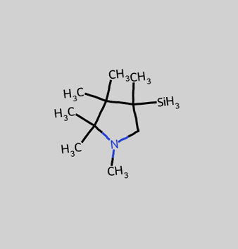 CN1CC(C)([SiH3])C(C)(C)C1(C)C